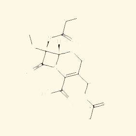 CO[C@@]1(NC(=O)CCl)C(=O)N2C(C(=O)O)=C(COC(C)=O)CS[C@H]21